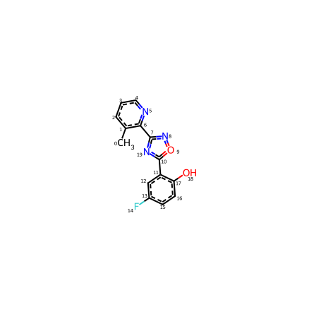 Cc1cccnc1-c1noc(-c2cc(F)ccc2O)n1